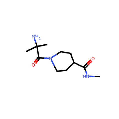 CNC(=O)C1CCN(C(=O)C(C)(C)N)CC1